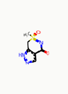 CS1(=O)=NC(=O)c2cn[nH]c2C1